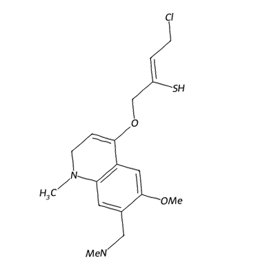 CNCc1cc2c(cc1OC)C(OC/C(S)=C/CCl)=CCN2C